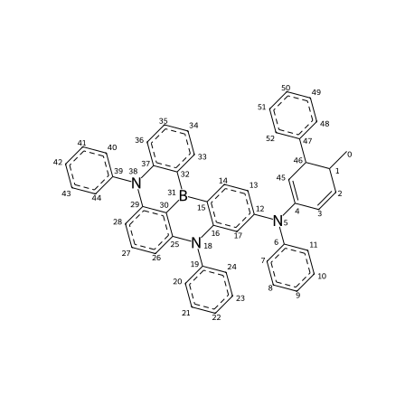 CC1C=CC(N(c2ccccc2)c2ccc3c(c2)N(c2ccccc2)c2cccc4c2B3c2ccccc2N4c2ccccc2)=CC1c1ccccc1